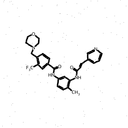 Cc1ccc(NC(=O)c2ccc(CN3CCOCC3)c(C(F)(F)F)c2)cc1NC(=O)/C=C/c1cccnc1